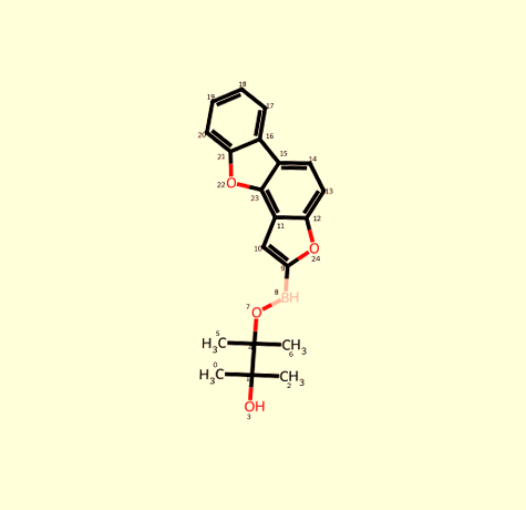 CC(C)(O)C(C)(C)OBc1cc2c(ccc3c4ccccc4oc23)o1